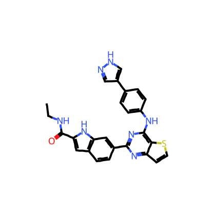 CCNC(=O)c1cc2ccc(-c3nc(Nc4ccc(-c5cn[nH]c5)cc4)c4sccc4n3)cc2[nH]1